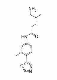 Cc1cc(NC(=O)CCC(C)CN)ccc1-c1cnco1